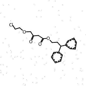 O=C(COCCCl)CC(=O)OCCC(c1ccccc1)c1ccccc1